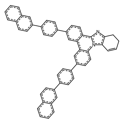 C1=Cc2c(nc3c4ccc(-c5ccc(-c6ccc7ccccc7c6)cc5)cc4c4cc(-c5ccc(-c6ccc7ccccc7c6)cc5)ccc4n23)CC1